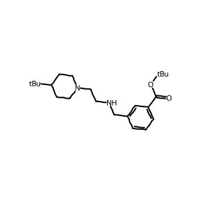 CC(C)(C)OC(=O)c1cccc(CNCCN2CCC(C(C)(C)C)CC2)c1